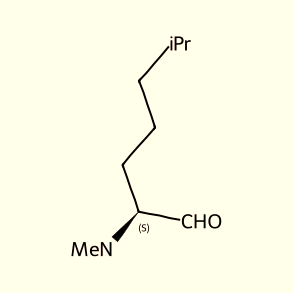 CN[C@H](C=O)CCCC(C)C